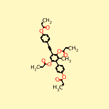 C=CC(=O)Oc1ccc(C#Cc2cc(OC(=O)C=C)c(-c3ccc(OC(=O)C=C)cc3)c(C)c2OC(=O)C=C)cc1